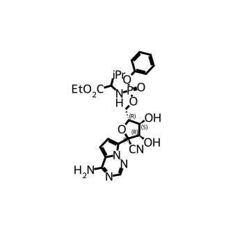 CCOC(=O)C(NP(=O)(OC[C@H]1O[C@@](C#N)(c2ccc3c(N)ncnn23)[C@H](O)[C@@H]1O)Oc1ccccc1)C(C)C